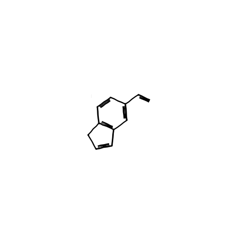 O=Cc1ccc2c(c1)C=CC2.[H+]